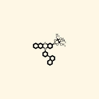 CC1(C)OB(c2ccc3c(c2)Sc2cc4ccccc4cc2N3c2cccc(-c3cccc4ccccc34)c2)OC1(C)C